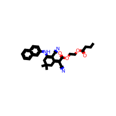 CCCC(=O)OCCOC(=O)/C(C#N)=C1/CC(C)(C)CC(Nc2ccc3ccccc3c2)=C1C#N